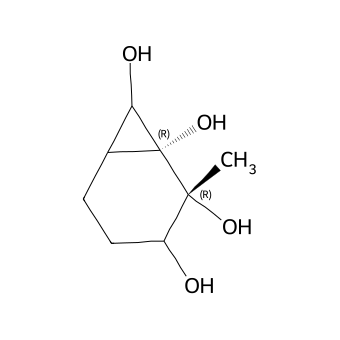 C[C@@]1(O)C(O)CCC2C(O)[C@]21O